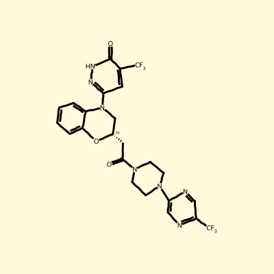 O=C(C[C@H]1CN(c2cc(C(F)(F)F)c(=O)[nH]n2)c2ccccc2O1)N1CCN(c2cnc(C(F)(F)F)cn2)CC1